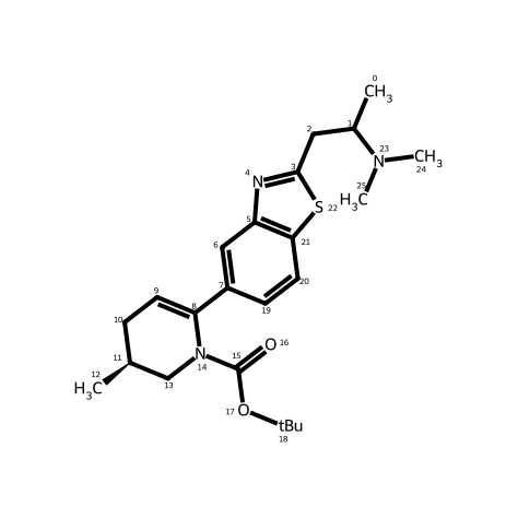 CC(Cc1nc2cc(C3=CC[C@H](C)CN3C(=O)OC(C)(C)C)ccc2s1)N(C)C